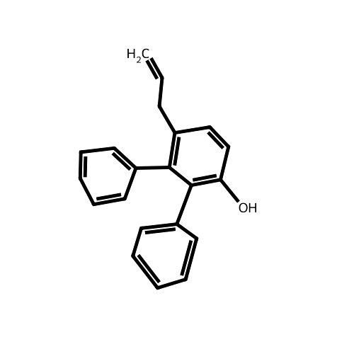 C=CCc1ccc(O)c(-c2ccccc2)c1-c1ccccc1